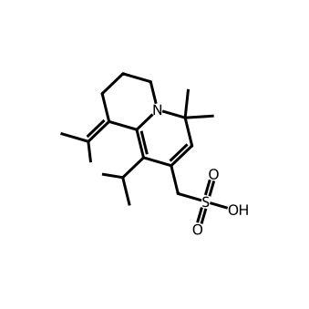 CC(C)=C1CCCN2C1=C(C(C)C)C(CS(=O)(=O)O)=CC2(C)C